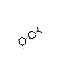 CC(C)N1CCN([C@H]2CCC[C@H](C)C2)CC1